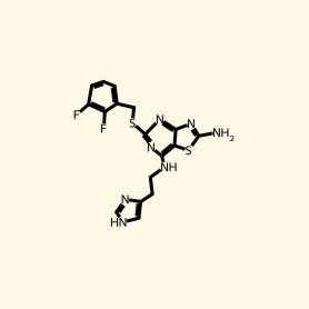 Nc1nc2nc(SCc3cccc(F)c3F)nc(NCCc3c[nH]cn3)c2s1